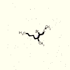 C=C=C/C(Br)=C(\C)CCCCC